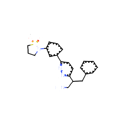 NCC(Cc1ccccc1)c1ccc(-c2cccc(N3CCCS3(=O)=O)c2)nn1